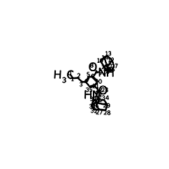 CCCCc1cc(C(=O)NC23CC4CC(CC(C4)C2)C3)cc(C(=O)NC23CC4CC(CC(C4)C2)C3)c1